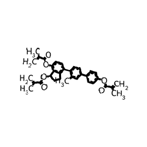 C=C(C)C(=O)Oc1ccc(-c2ccc(-c3ccc(OC(=O)C(=C)C)c4c3CCC4OC(=O)C(=C)C)c(C)c2)cc1